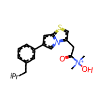 CC(C)Cc1cccc(-c2cc3scc(CC(=O)[N+](C)(C)O)n3c2)c1